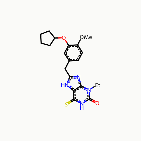 CCn1c(=O)[nH]c(=S)c2[nH]c(Cc3ccc(OC)c(OC4CCCC4)c3)nc21